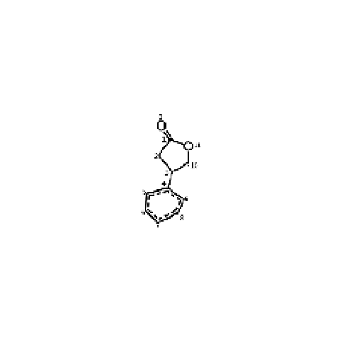 O=C1CC(c2ccccc2)[CH]O1